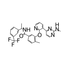 CNc1nccc(-c2cccnc2Oc2cc(C(=O)NC(C)c3cccc(C(F)(F)F)c3)ccc2C)n1